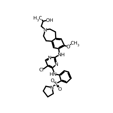 COc1cc2c(cc1Nc1ncc(Cl)c(Nc3ccccc3S(=O)(=O)N3CCCC3)n1)CCN(CC(C)O)CC2